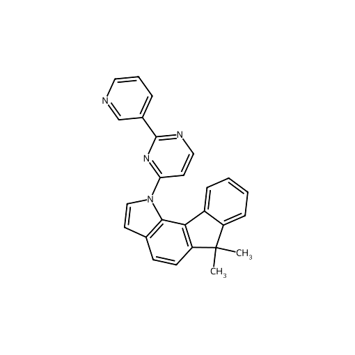 CC1(C)c2ccccc2-c2c1ccc1ccn(-c3ccnc(-c4cccnc4)n3)c21